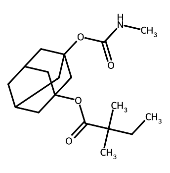 CCC(C)(C)C(=O)OC12CC3CC(CC(OC(=O)NC)(C3)C1)C2